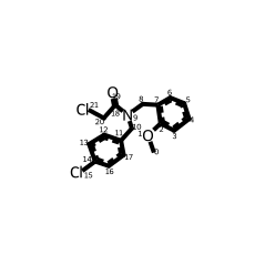 COc1ccccc1CN(Cc1ccc(Cl)cc1)C(=O)CCl